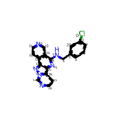 Clc1cccc(CNc2nc3c(nn4cnccc34)c3ccncc23)c1